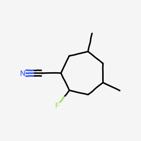 CC1CC(C)CC(C#N)C(F)C1